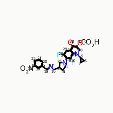 O=C(O)Oc1cn(C2CC2)c2c(F)c(N3CCC(CN=Cc4cccc([N+](=O)[O-])c4)C3)c(F)cc2c1=O